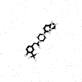 O=C(Cc1ccc(Cl)c(C(F)(F)F)c1)N1CCN(c2ccc3nncn3n2)CC1